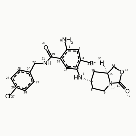 Nc1cc(Br)c(N[C@H]2CCN3C(=O)OC[C@@H]3C2)cc1C(=O)NCc1ccc(Cl)cc1